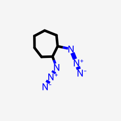 [N-]=[N+]=NC1CCCCCC1N=[N+]=[N-]